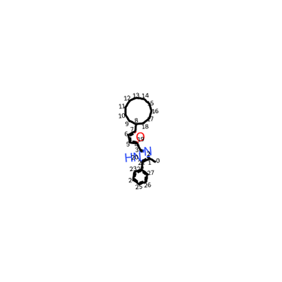 Cc1nc(-c2ccc(C3CCCCCCCCCC3)o2)[nH]c1-c1ccccc1